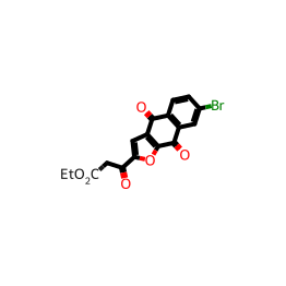 CCOC(=O)CC(=O)c1cc2c(o1)C(=O)c1cc(Br)ccc1C2=O